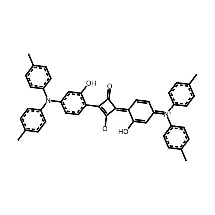 Cc1ccc(N(c2ccc(C)cc2)c2ccc(C3=C([O-])/C(=C4/C=CC(=[N+](c5ccc(C)cc5)c5ccc(C)cc5)C=C4O)C3=O)c(O)c2)cc1